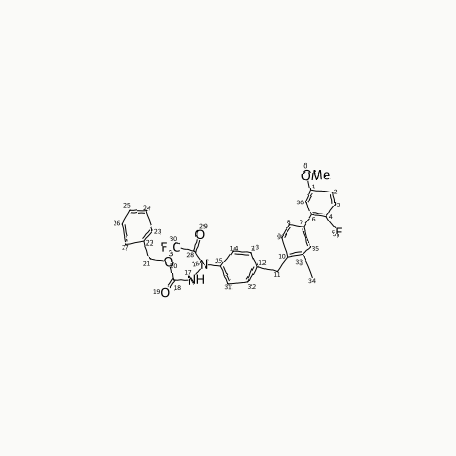 COc1ccc(F)c(-c2ccc(Cc3ccc(N(NC(=O)OCc4ccccc4)C(=O)C(F)(F)F)cc3)c(C)c2)c1